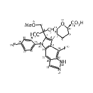 COCC(C)(C)c1c([C@H]2CC[C@H](C(=O)O)OC2)c2c(F)c3[nH]ncc3cc2n1-c1ccc(F)cc1